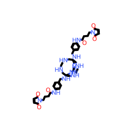 O=C(CCCN1C(=O)C=CC1=O)Nc1ccc(CNC23CNCCNCC(NCc4ccc(NC(=O)CCCN5C(=O)C=CC5=O)cc4)(CNCCNC2)CNCCNC3)cc1